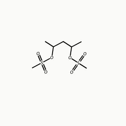 CC(CC(C)OS(C)(=O)=O)OS(C)(=O)=O